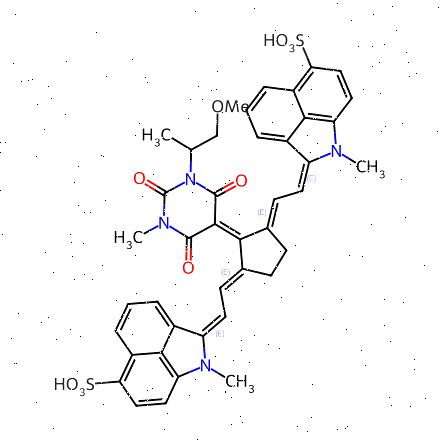 COCC(C)N1C(=O)C(=C2/C(=C/C=c3\c4cccc5c(S(=O)(=O)O)ccc(c54)n3C)CC/C2=C\C=c2/c3cccc4c(S(=O)(=O)O)ccc(c43)n2C)C(=O)N(C)C1=O